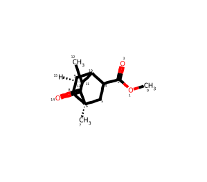 COC(=O)C1C[C@@]2(C)CCC1[C@H](C)C2=O